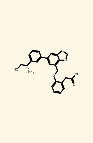 N[C@H](CO)c1cccc(-c2cc(COc3ccccc3CC(=O)O)c3c(c2)OCO3)c1